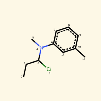 CCC(Cl)N(C)c1cccc(C)c1